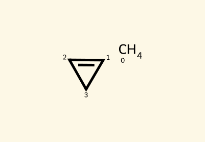 C.C1=CC1